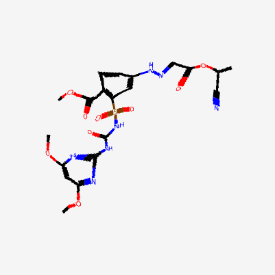 COC(=O)c1ccc(NN=CC(=O)OC(C)C#N)cc1S(=O)(=O)NC(=O)Nc1nc(OC)cc(OC)n1